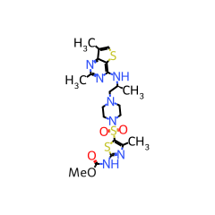 COC(=O)Nc1nc(C)c(S(=O)(=O)N2CCN(C[C@H](C)Nc3nc(C)nc4c(C)csc34)CC2)s1